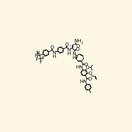 C=CCOc1c(C(=O)Nc2ccc(C)cc2)ccc(NC(=O)C2=CC=C(NC(=O)/C(=C\C(N)=O)NC(=O)c3ccc(NC(=O)c4ccc(C5(C(F)(F)F)N=N5)cc4)cc3)C=CC2)c1OC(C)C